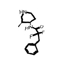 C[C@H]1CNCC[C@@H]1NC(=O)C(F)(F)Cc1ccccc1